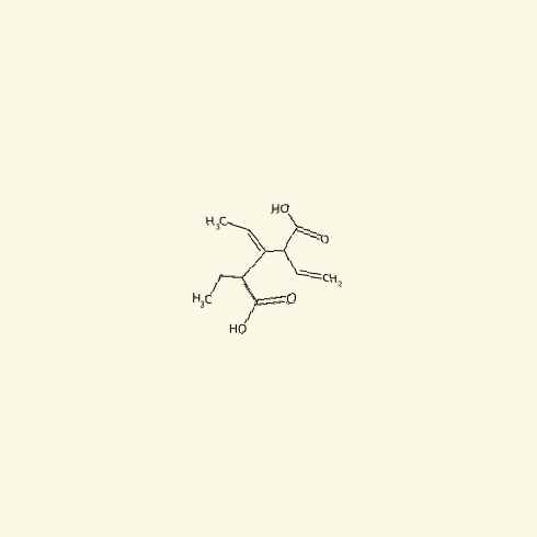 C=CC(C(=O)O)C(=CC)C(CC)C(=O)O